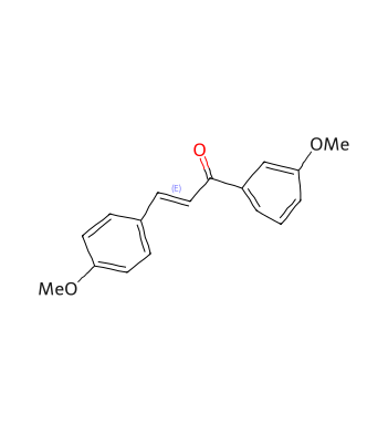 COc1ccc(/C=C/C(=O)c2cccc(OC)c2)cc1